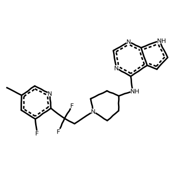 Cc1cnc(C(F)(F)CN2CCC(Nc3ncnc4[nH]ccc34)CC2)c(F)c1